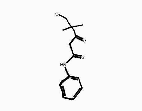 CC(C)(CCl)C(=O)CC(=O)Nc1ccccc1